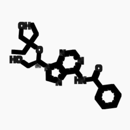 CCC(CC)(CO)O[C@H](CO)n1cnc2c(NC(=O)c3ccccc3)ncnc21